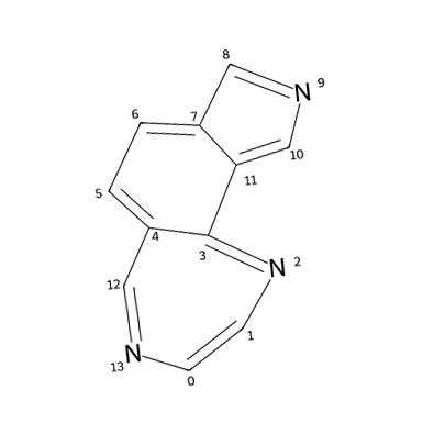 c1cnc2c(ccc3cncc32)cn1